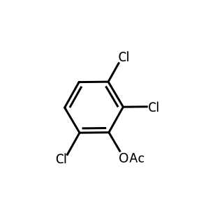 CC(=O)Oc1c(Cl)ccc(Cl)c1Cl